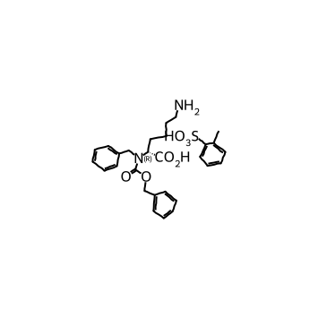 Cc1ccccc1S(=O)(=O)O.NCCCC[C@H](C(=O)O)N(Cc1ccccc1)C(=O)OCc1ccccc1